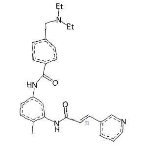 CCN(CC)Cc1ccc(C(=O)Nc2ccc(C)c(NC(=O)/C=C/c3cccnc3)c2)cc1